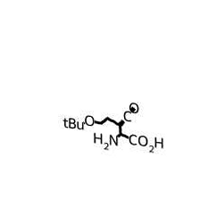 CC(C)(C)OCCC(=C=O)C(N)C(=O)O